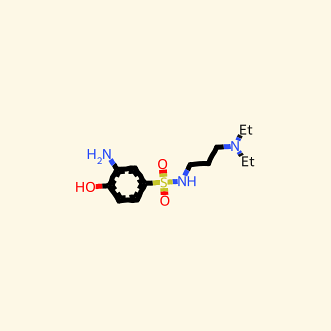 CCN(CC)CCCNS(=O)(=O)c1ccc(O)c(N)c1